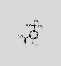 CC(C)(C)c1cnc(N)c(C(N)=O)c1